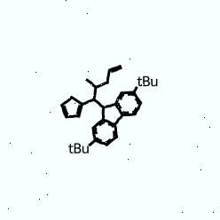 C=CCC(C)C(C1=CC=CC1)C1c2cc(C(C)(C)C)ccc2-c2ccc(C(C)(C)C)cc21